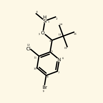 C[SiH](C)OC(c1ncc(Br)cc1Cl)C(C)(C)C